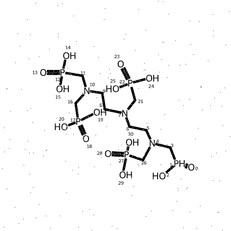 O=[PH](O)CN(CCN(CCN(CP(=O)(O)O)CP(=O)(O)O)CP(=O)(O)O)CP(=O)(O)O